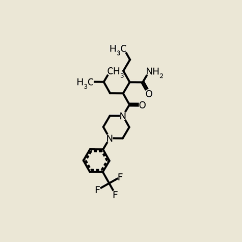 CCCC(C(N)=O)C(CC(C)C)C(=O)N1CCN(c2cccc(C(F)(F)F)c2)CC1